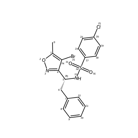 Cc1onc([C@@H](Cc2ccccc2)NS(=O)(=O)c2ccc(Cl)cc2)c1Br